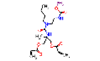 C=CC(=O)OCC(C)(COC(=O)C=C)NC(=O)N(CCCC)CCNC(=O)OP